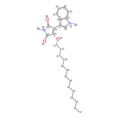 CCCCCCCCCCCCCCOC1=C(c2cn(C)c3ccccc23)C(=O)N(C)C1=O